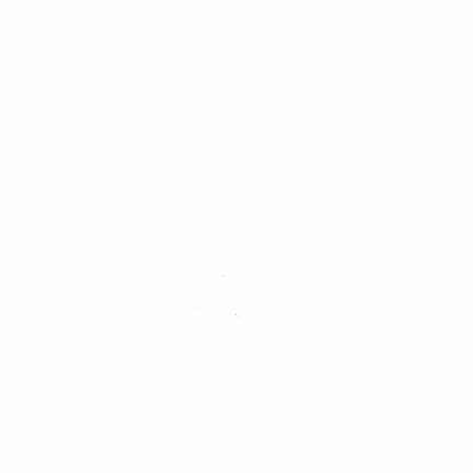 CN1C(c2cccc(-c3ccc(-c4ccc5sc6ccccc6c5c4)c4oc5ccccc5c34)c2)=NC(c2ccccc2)=NC1c1ccc2sc3ccccc3c2c1